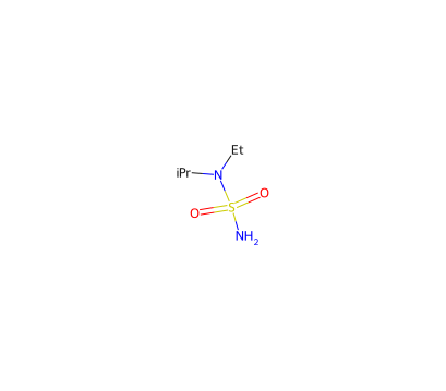 CCN(C(C)C)S(N)(=O)=O